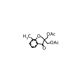 CC(=O)OCC1(COC(C)=O)COc2c(C)cccc2C1=O